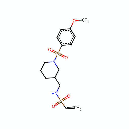 C=CS(=O)(=O)NCC1CCCN(S(=O)(=O)c2ccc(OC(F)(F)F)cc2)C1